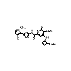 COc1c(N[C@@H]2CC[C@@H]2OC)cc(C(=O)Nc2nnc(-c3c(Cl)ccn3C)s2)oc1=O